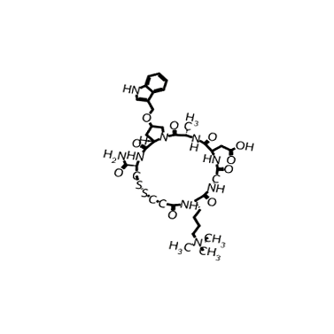 C[C@@H]1NC(=O)C(CC(=O)O)NC(=O)CNC(=O)[C@H](CCCC[N+](C)(C)C)NC(=O)CCSSC[C@@H](C(N)=O)NC(=O)[C@@H]2CC(OCc3c[nH]c4ccccc34)CN2C1=O